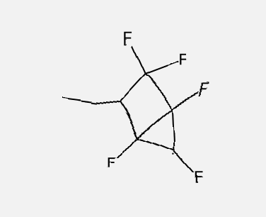 CC1C(F)(F)C2(F)[C](F)C12F